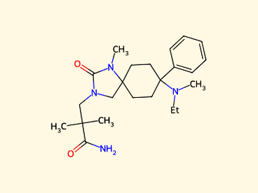 CCN(C)C1(c2ccccc2)CCC2(CC1)CN(CC(C)(C)C(N)=O)C(=O)N2C